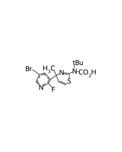 CC1(c2cc(Br)cnc2F)C=CSC(N(C(=O)O)C(C)(C)C)=N1